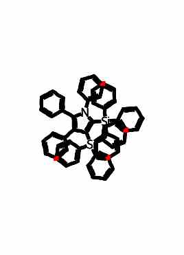 c1ccc(-c2c([Si](c3ccccc3)(c3ccccc3)c3ccccc3)c([Si](c3ccccc3)(c3ccccc3)c3ccccc3)n(-c3ccccc3)c2-c2ccccc2)cc1